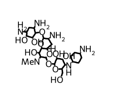 CNC1C(OC2OC(CO)C(N[C@H]3CC[C@H](N)CC3)C(O)C2O)O[C@H]2C[C@H](N)C(OC3C(N)CC(N)C(O)C3O)OC2C1O